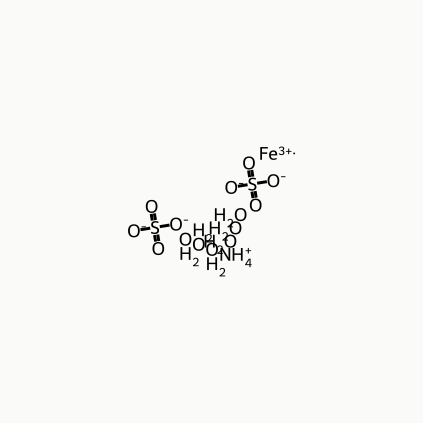 O.O.O.O.O.O.O=S(=O)([O-])[O-].O=S(=O)([O-])[O-].[Fe+3].[NH4+]